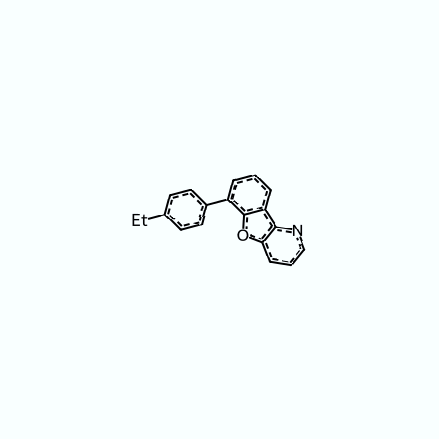 CCc1ccc(-c2cccc3c2oc2cccnc23)cc1